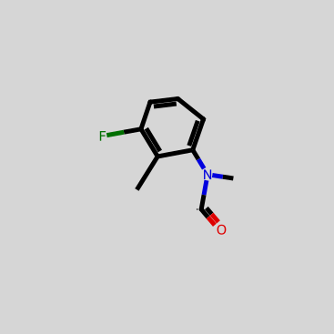 Cc1c(F)cccc1N(C)[C]=O